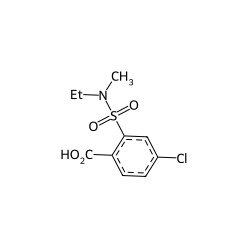 CCN(C)S(=O)(=O)c1cc(Cl)ccc1C(=O)O